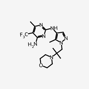 Cc1nc(Nc2cnn(CC(C)(C)N3CCOCC3)c2C)nc(N)c1C(F)(F)F